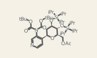 CC(=O)OC[C@H]1O[C@@H](c2ccncc2N(C(=O)OC(C)(C)C)C(=O)OC(C)(C)C)C[C@@H](O[Si](C(C)C)(C(C)C)C(C)C)[C@@H]1O[Si](C(C)C)(C(C)C)C(C)C